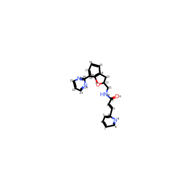 O=C(C=Cc1ccccn1)NCC1Cc2cccc(-c3ncccn3)c2O1